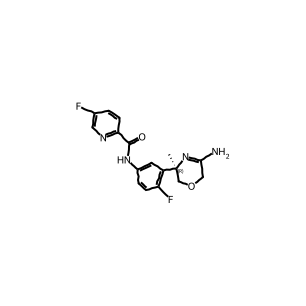 C[C@@]1(c2cc(NC(=O)c3ccc(F)cn3)ccc2F)COCC(N)=N1